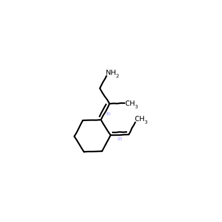 C/C=C1/CCCC/C1=C(/C)CN